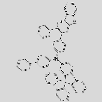 c1ccc(-c2ccc(N(c3ccc(-c4cc5oc6ccccc6c5cc4-c4ccccc4)cc3)c3ccc4c(c3)C(c3ccccc3)(c3ccccc3)c3ccccc3-4)cc2)cc1